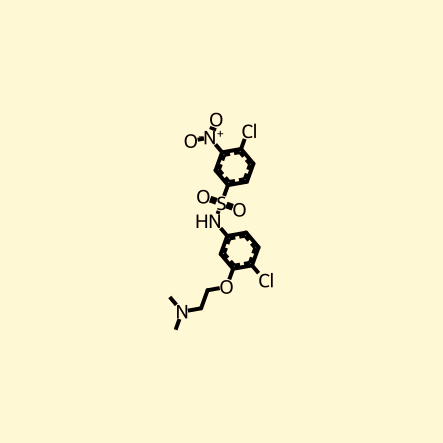 CN(C)CCOc1cc(NS(=O)(=O)c2ccc(Cl)c([N+](=O)[O-])c2)ccc1Cl